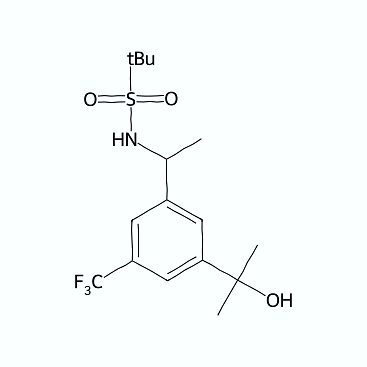 CC(NS(=O)(=O)C(C)(C)C)c1cc(C(C)(C)O)cc(C(F)(F)F)c1